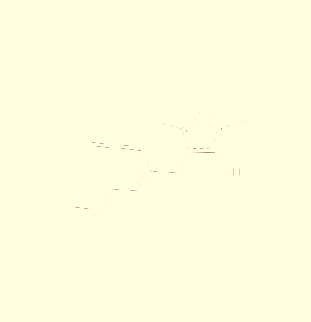 Bc1c(C)sc(C)c1C/C(C=C=C)=C/C=C/Cl